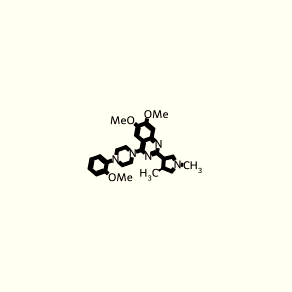 COc1cc2nc(C3CN(C)C[C@H]3C)nc(N3CCN(c4ccccc4OC)CC3)c2cc1OC